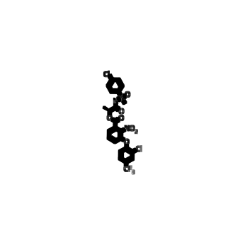 C[C@H](OC(=O)c1cccc(Oc2ccc(C(F)(F)F)cc2Cl)c1[N+](=O)[O-])C(=O)N=S(C)(=O)c1ccc(Cl)cc1